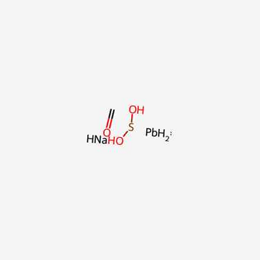 C=O.OSO.[NaH].[PbH2]